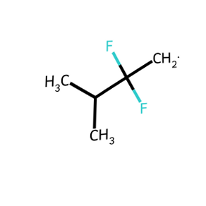 [CH2]C(F)(F)C(C)C